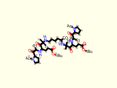 CCCCOC(=O)CCC(NC(CC)C(=O)C1CCCN1C(C)=O)C(=O)C(C)(C)NCCCCC(NC(C)(C)C(=O)C(CCC(=O)OC(C)(C)C)NC(CC)C(=O)C1CCCN1C(C)=O)C(=O)O